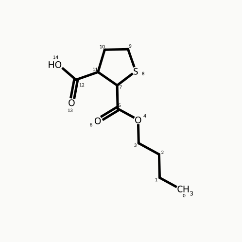 CCCCOC(=O)C1SCCC1C(=O)O